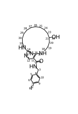 O=C(NCc1ccc(F)cc1)c1cnc2nc1NCCCC(O)CCCCCCCCCN2